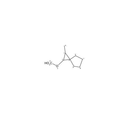 CC1C(OC(=O)O)C12CCCC2